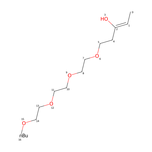 CC=C(O)CCOCCOCCOCCOCCCC